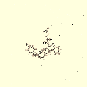 CN(C)CCNC(=O)Oc1nc2nc(Nc3ccc(F)cc3)ncc2cc1-c1ccccc1Br